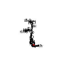 CCC(CC)(CCNCCCCN(CCC(CC)(CC)NC(=O)OC(C)(C)C)C(=O)CCCC(=O)O[C@H]1CC[C@@]2(C)C(=CC[C@H]3[C@@H]4CC[C@H](C(C)CCCC(C)C)[C@@]4(C)CC[C@@H]32)C1)NC(=O)OC(C)(C)C